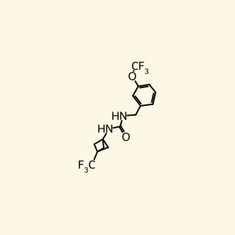 O=C(NCc1cccc(OC(F)(F)F)c1)NC12CC(C(F)(F)F)(C1)C2